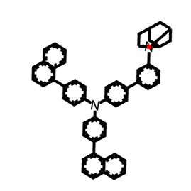 c1cc(-c2ccc(N(c3ccc(-c4cccc5ccccc45)cc3)c3ccc(-c4cccc5ccccc45)cc3)cc2)cc(N2C3CC4CC(C3)CC2C4)c1